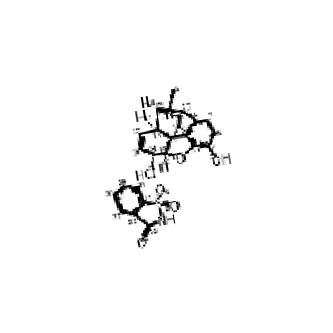 CN1CC[C@]23c4c5ccc(O)c4O[C@H]2[C@@H](O)C=C[C@H]3[C@H]1C5.O=C1NS(=O)(=O)c2ccccc21